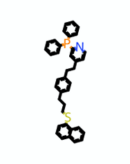 c1ccc(P(c2ccccc2)c2cc(CCc3ccc(CCCSc4cccc5ccccc45)cc3)ccn2)cc1